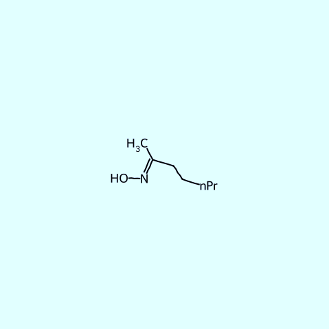 CCCCCC(C)=NO